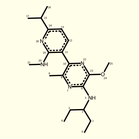 CCC(CC)Nc1nc(C)c(-c2ccc(C(C)C)nc2NC)nc1OC